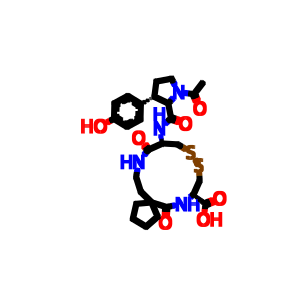 CC(=O)N1CC[C@@H](c2ccc(O)cc2)C1C(=O)N[C@H]1CSSC[C@@H](C(=O)O)NC(=O)C2(CCCC2)CCNC1=O